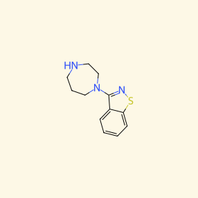 c1ccc2c(N3CCCNCC3)nsc2c1